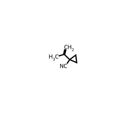 C=C(C)C1(C#N)CC1